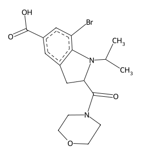 CC(C)N1c2c(Br)cc(C(=O)O)cc2CC1C(=O)N1CCOCC1